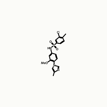 COc1cc(NS(=O)(=O)c2ccc(C)c(Cl)c2)ccc1-n1cnc(C)c1